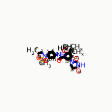 C=CCN(c1ccc(NC(=O)c2cc(N3CCC(=O)NC3=O)cc(C(C)(C)C)c2OC)cc1)S(C)(=O)=O